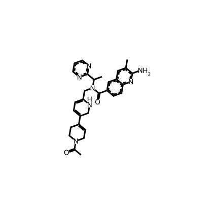 CC(=O)N1CC=C(C2=CC=C(CN(C(=O)c3ccc4nc(N)c(C)cc4c3)C(C)c3ncccn3)NC2)CC1